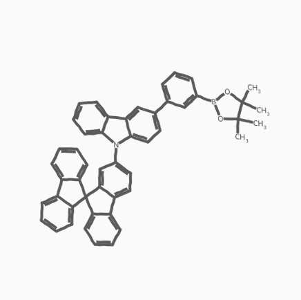 CC1(C)OB(c2cccc(-c3ccc4c(c3)c3ccccc3n4-c3ccc4c(c3)C3(c5ccccc5-c5ccccc53)c3ccccc3-4)c2)OC1(C)C